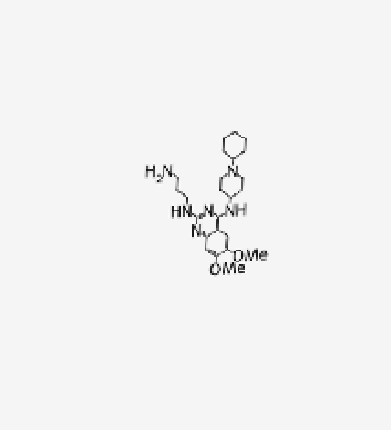 COc1cc2nc(NCCCN)nc(NC3CCN(C4CCCCC4)CC3)c2cc1OC